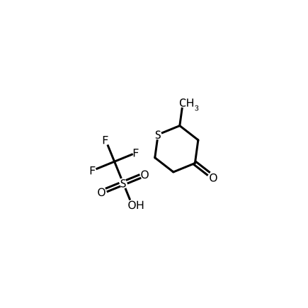 CC1CC(=O)CCS1.O=S(=O)(O)C(F)(F)F